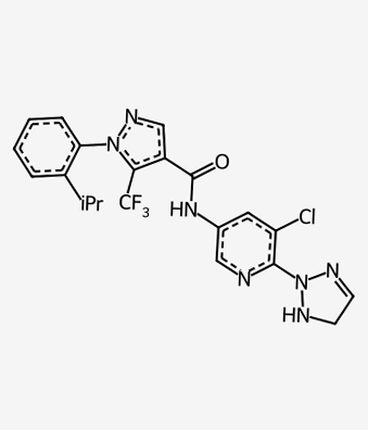 CC(C)c1ccccc1-n1ncc(C(=O)Nc2cnc(N3N=CCN3)c(Cl)c2)c1C(F)(F)F